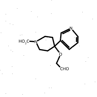 O=CCOC1(c2cccnc2)CCN(C(=O)O)CC1